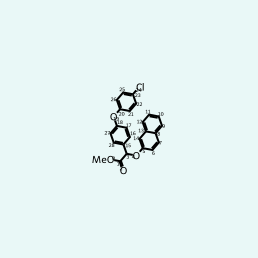 COC(=O)C(Oc1ccc2ccccc2c1)c1ccc(Oc2ccc(Cl)cc2)cc1